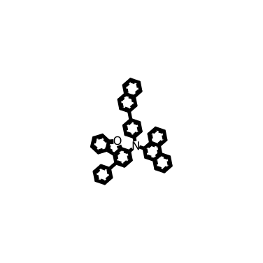 c1ccc(-c2ccc(N(c3ccc(-c4ccc5ccccc5c4)cc3)c3cc4ccccc4c4ccccc34)c3oc4ccccc4c23)cc1